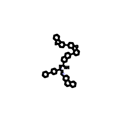 N=C(/N=C(\N=C\c1ccc2c(ccc3ccccc32)c1)c1ccc(-c2ccccc2)cc1)c1ccc2ccc(-c3cccc4oc5ccc(-c6ccc7sc8ccccc8c7c6)cc5c34)cc2c1